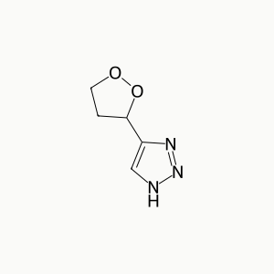 c1[nH]nnc1C1CCOO1